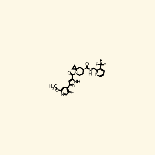 COc1cc(-c2cc(C(=O)N3CC[C@H](C(=O)NCc4ncccc4C(F)(F)F)CC34CC4)[nH]n2)c(F)cn1